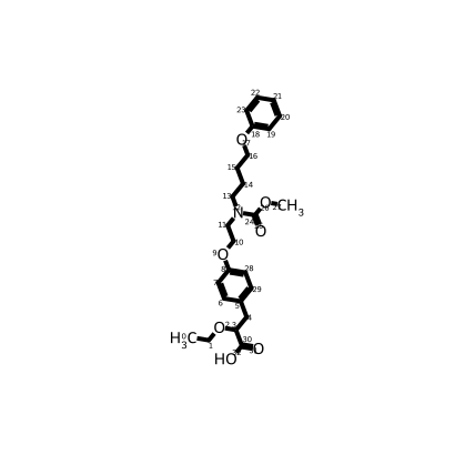 CCOC(Cc1ccc(OCCN(CCCCOc2ccccc2)C(=O)OC)cc1)C(=O)O